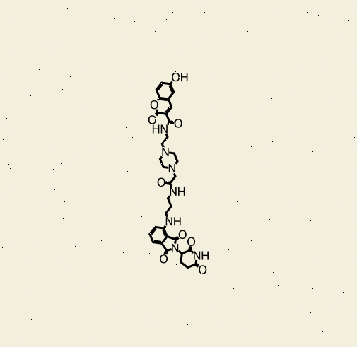 O=C(CN1CCN(CCNC(=O)c2cc3cc(O)ccc3oc2=O)CC1)NCCCNc1cccc2c1C(=O)N(C1CCC(=O)NC1=O)C2=O